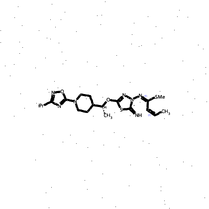 C/C=C\C(=N/n1nc(O[C@H](C)C2CCN(c3nc(C(C)C)no3)CC2)sc1=N)SC